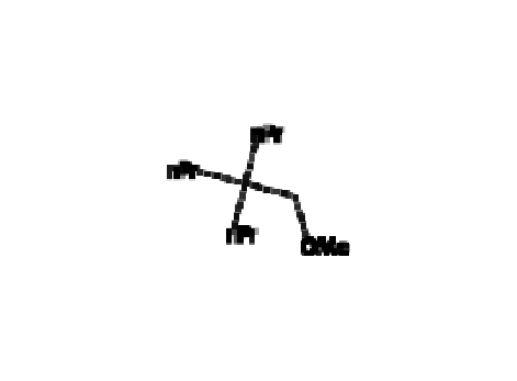 CCCC(CCC)(CCC)COC